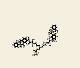 CCCOC(=O)CCN(CCCNC(=O)C(=O)Nc1c(C)cc(C)c(C(=O)P(=O)(OCC)c2ccccc2)c1C)CCCNC(=O)C(=O)Nc1c(C)cc(C)c(C(=O)P(=O)(OCC)c2ccccc2)c1C